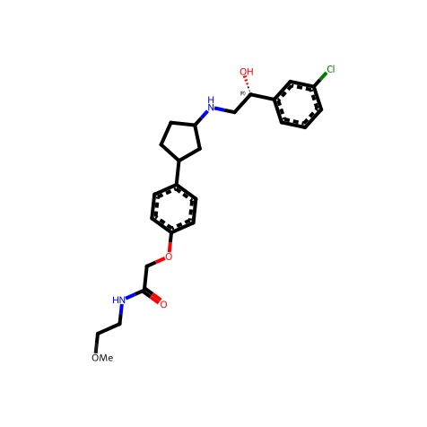 COCCNC(=O)COc1ccc(C2CCC(NC[C@H](O)c3cccc(Cl)c3)C2)cc1